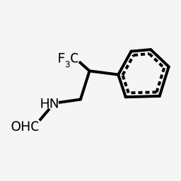 O=CNCC(c1ccccc1)C(F)(F)F